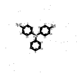 [3H]c1ccc(N(c2ccccc2)c2ccc([3H])cc2)cc1